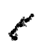 Cc1cccc(Cl)c1NC(=O)c1cnc(Nc2ccc(S(=O)(=O)NCCCn3cnc(-c4ccc(C)c(NC(=O)c5cnc(Nc6cccc(S(=O)(=O)NCCCn7ccnc7)c6)s5)c4Cl)c3)cc2)s1